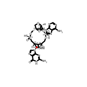 CO[C@H]1[C@H]2C[P@@](=O)(S)OC[C@@]34CO[C@@H]([C@H](n5cnc6c(N)ncnc65)O3)[C@@H]4O[P@@](=O)(S)OC[C@H]1O[C@H]2n1cnc2c(=O)[nH]c(N)nc21